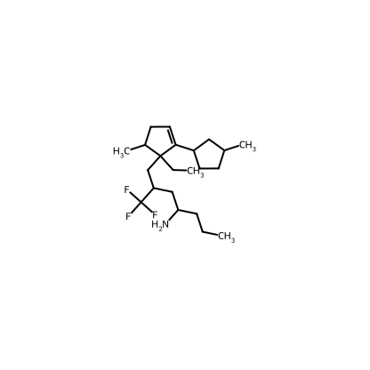 CCCC(N)CC(CC1(CC)C(C2CCC(C)C2)=CCC1C)C(F)(F)F